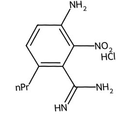 CCCc1ccc(N)c([N+](=O)[O-])c1C(=N)N.Cl